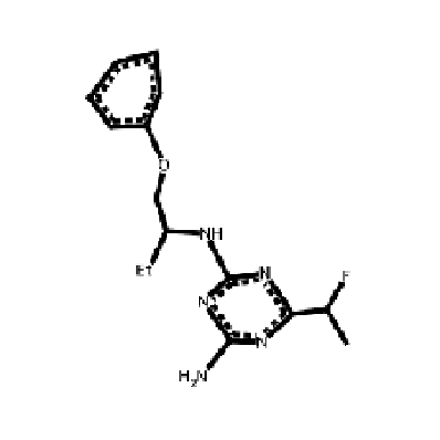 CCC(COc1ccccc1)Nc1nc(N)nc(C(C)F)n1